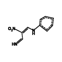 N=C/C(=C\Nc1ccccc1)[N+](=O)[O-]